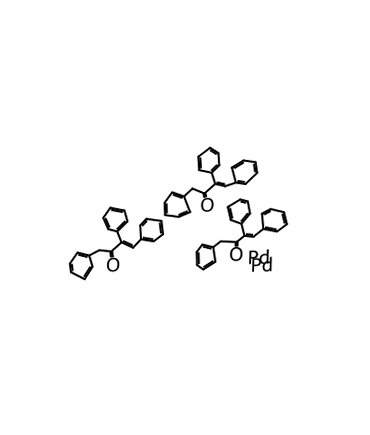 O=C(Cc1ccccc1)C(=Cc1ccccc1)c1ccccc1.O=C(Cc1ccccc1)C(=Cc1ccccc1)c1ccccc1.O=C(Cc1ccccc1)C(=Cc1ccccc1)c1ccccc1.[Pd].[Pd]